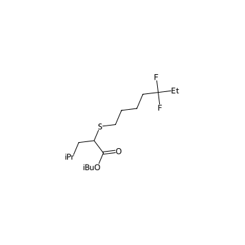 CCC(F)(F)CCCCSC(CC(C)C)C(=O)OCC(C)C